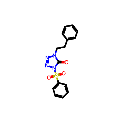 O=c1n(CCc2ccccc2)nnn1S(=O)(=O)c1ccccc1